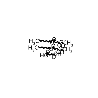 CCCCCCC=COC(=O)CCC(=O)OC(C)=O.CCCCCCC=COC(=O)CCC(=O)OC(C)=O.O=C(O)CCC(=O)O